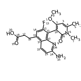 COc1cc(C)n(C)c(=O)c1-c1c(F)cc(CCC(=O)O)c2ccc(N)nc12